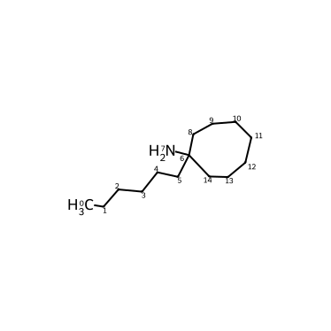 CCCCCCC1(N)CCCCCCC1